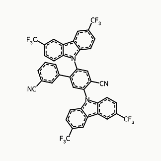 N#Cc1cccc(-c2cc(-n3c4ccc(C(F)(F)F)cc4c4cc(C(F)(F)F)ccc43)c(C#N)cc2-n2c3ccc(C(F)(F)F)cc3c3cc(C(F)(F)F)ccc32)c1